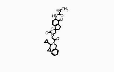 CNC(=O)NC1C=CC2=C(CCC23CN(CC(=O)N(Cc2ccccc2)C(C2CC2)C2CC2)C(=O)O3)C1=O